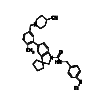 CCSc1ccc(CNC(=O)N2CC3(CCCC3)c3cc(-c4cc(CN5CCC(C#N)CC5)ccc4C)ccc32)cc1